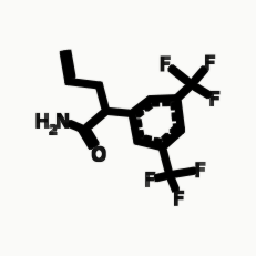 C=CCC(C(N)=O)c1cc(C(F)(F)F)cc(C(F)(F)F)c1